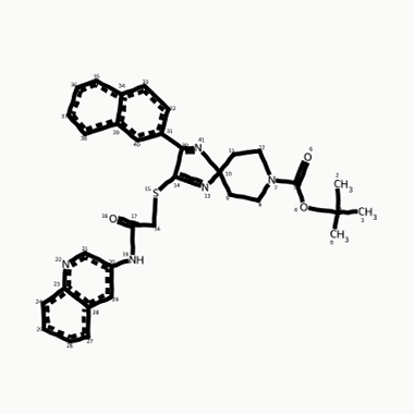 CC(C)(C)OC(=O)N1CCC2(CC1)N=C(SCC(=O)Nc1cnc3ccccc3c1)C(c1ccc3ccccc3c1)=N2